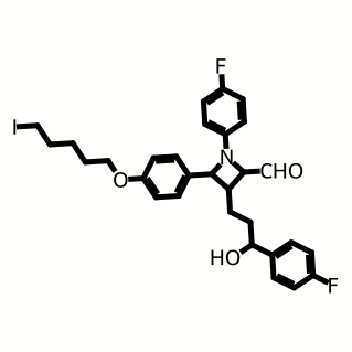 O=CC1C(CCC(O)c2ccc(F)cc2)C(c2ccc(OCCCCCI)cc2)N1c1ccc(F)cc1